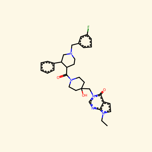 CCn1ccc2c(=O)n(CC3(O)CCN(C(=O)C4CCN(Cc5cccc(F)c5)CC4c4ccccc4)CC3)cnc21